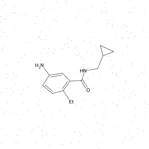 CCc1ccc(N)cc1C(=O)NCC1CC1